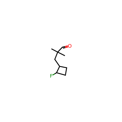 CC(C)(C=O)CC1CCC1F